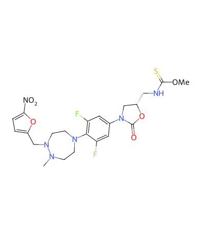 COC(=S)NC[C@H]1CN(c2cc(F)c(N3CCN(C)N(Cc4ccc([N+](=O)[O-])o4)CC3)c(F)c2)C(=O)O1